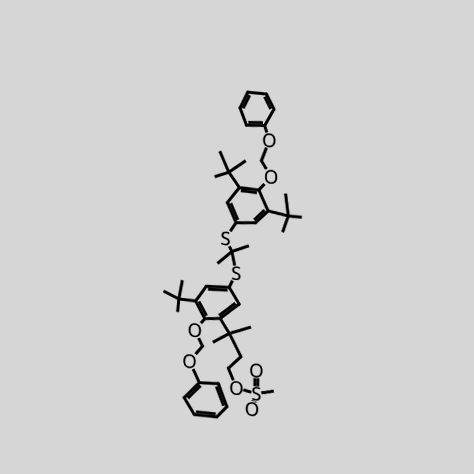 CC(C)(Sc1cc(C(C)(C)C)c(OCOc2ccccc2)c(C(C)(C)C)c1)Sc1cc(C(C)(C)C)c(OCOc2ccccc2)c(C(C)(C)CCOS(C)(=O)=O)c1